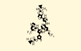 CC1(NC(=O)O[C@H]2C[C@@H](c3cc(Nc4nc(C(F)(F)F)cc5nccn45)[n+](-c4cnc(Nc5cc([C@H]6OC[C@@H](OC(=O)NC7(C)CC7)[C@H]6F)[nH]n5)c5cc(OCC(F)(F)F)nn45)[nH]3)C[C@H]2F)CC1